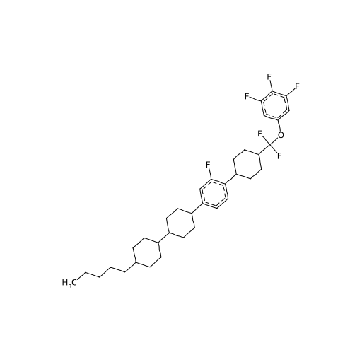 CCCCCC1CCC(C2CCC(c3ccc(C4CCC(C(F)(F)Oc5cc(F)c(F)c(F)c5)CC4)c(F)c3)CC2)CC1